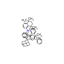 CC1(C)CCC(C)(C)c2c(N(c3cccc4c3-c3ccc(-c5ccccc5)cc3C43C4CC5CC6CC3C64C5)c3cccc4c3C(C)(C)CCC4(C)C)cccc21